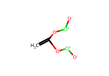 C=C(O[Cl+][O-])O[Cl+][O-]